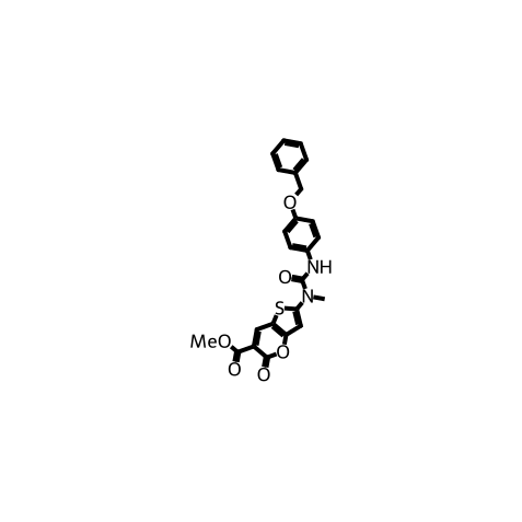 COC(=O)c1cc2sc(N(C)C(=O)Nc3ccc(OCc4ccccc4)cc3)cc2oc1=O